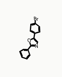 Brc1ccc(-c2cnc(-c3ccccc3)o2)cc1